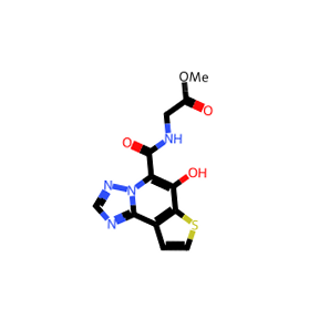 COC(=O)CNC(=O)c1c(O)c2sccc2c2ncnn12